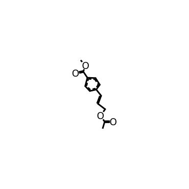 COC(=O)c1ccc(C=CCOC(C)=O)cc1